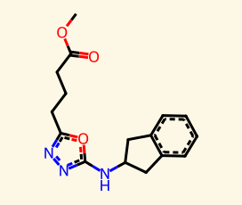 COC(=O)CCCc1nnc(NC2Cc3ccccc3C2)o1